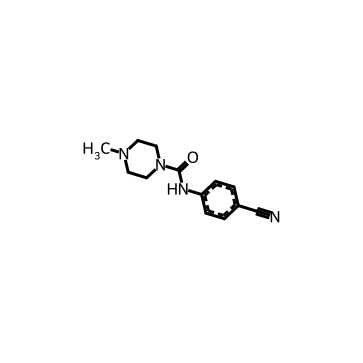 CN1CCN(C(=O)Nc2ccc(C#N)cc2)CC1